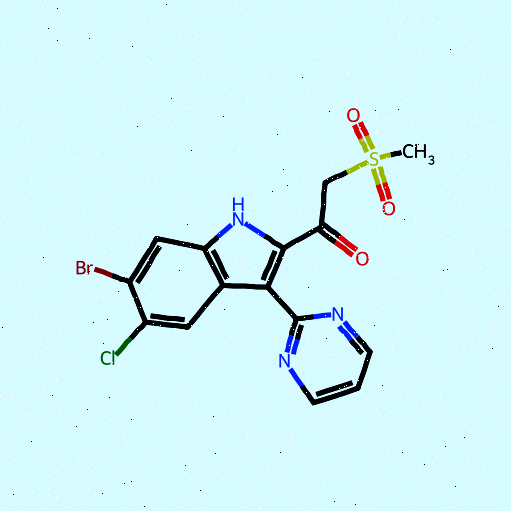 CS(=O)(=O)CC(=O)c1[nH]c2cc(Br)c(Cl)cc2c1-c1ncccn1